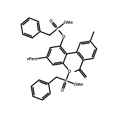 C=C(C)c1ccc(C)cc1-c1c(OP(=O)(Cc2ccccc2)OC)cc(CCCCC)cc1OP(=O)(Cc1ccccc1)OC